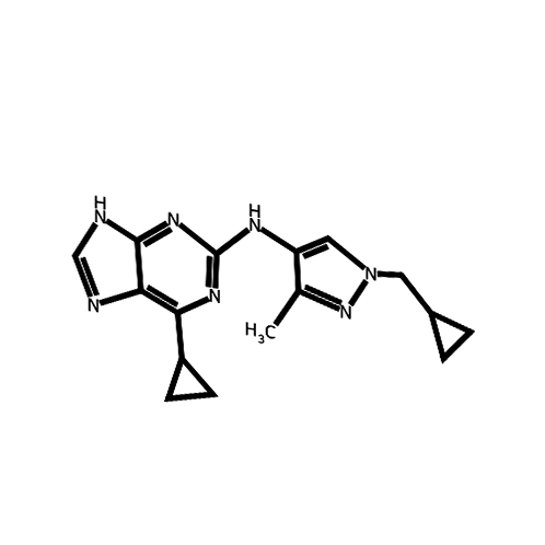 Cc1nn(CC2CC2)cc1Nc1nc(C2CC2)c2nc[nH]c2n1